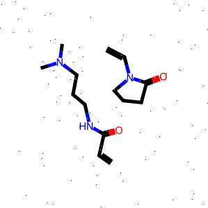 C=CC(=O)NCCCN(C)C.C=CN1CCCC1=O